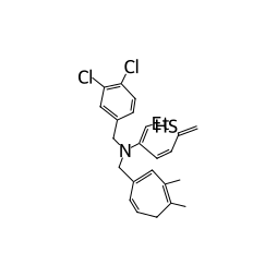 C=C(S)/C=C\C(=C/CC)N(CC1=CC(C)=C(C)CC=C1)Cc1ccc(Cl)c(Cl)c1